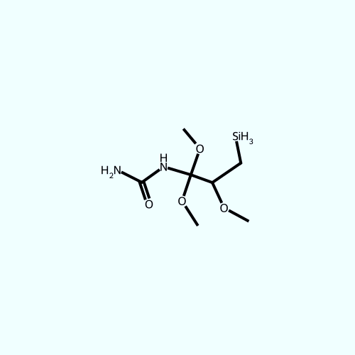 COC(C[SiH3])C(NC(N)=O)(OC)OC